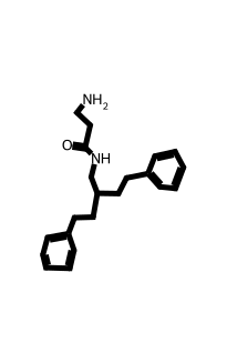 NCCC(=O)NCC(CCc1ccccc1)CCc1ccccc1